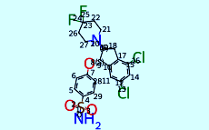 NS(=O)(=O)c1ccc(O[C@H]2c3cc(Cl)cc(Cl)c3C[C@@H]2N2CCC(F)(F)CC2)cc1